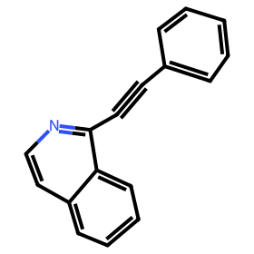 C(#Cc1nccc2ccccc12)c1ccccc1